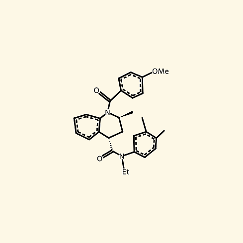 CCN(C(=O)[C@H]1C[C@H](C)N(C(=O)c2ccc(OC)cc2)c2ccccc21)c1ccc(C)c(C)c1